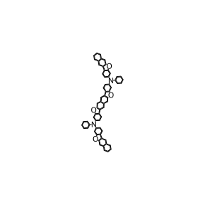 c1ccc(N(c2ccc3c(c2)oc2cc4ccccc4cc23)c2ccc3c(c2)oc2cc4cc5c(cc4cc23)oc2cc(N(c3ccccc3)c3ccc4c(c3)oc3cc6ccccc6cc34)ccc25)cc1